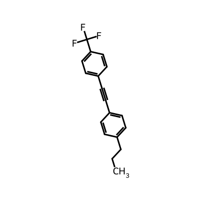 CCCc1ccc(C#Cc2ccc(C(F)(F)F)cc2)cc1